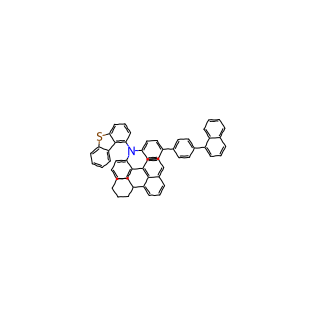 c1ccc(N(c2ccc(-c3ccc(-c4cccc5ccccc45)cc3)cc2)c2cccc3sc4ccccc4c23)c(-c2cccc3cccc(C4CCCCC4)c23)c1